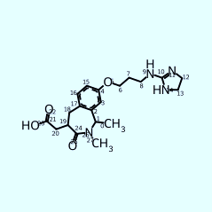 CC1c2cc(OCCCNC3=NCCN3)ccc2CC(CC(=O)O)C(=O)N1C